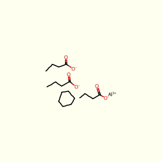 C1CCCCC1.CCCC(=O)[O-].CCCC(=O)[O-].CCCC(=O)[O-].[Al+3]